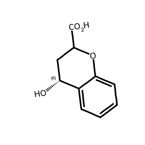 O=C(O)C1C[C@@H](O)c2ccccc2O1